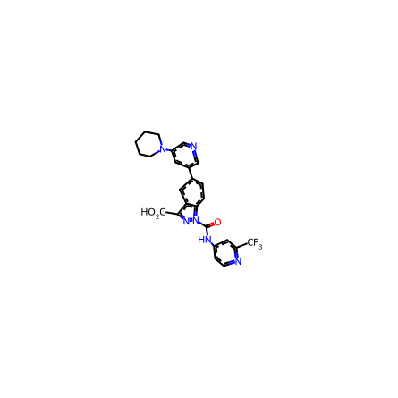 O=C(O)c1nn(C(=O)Nc2ccnc(C(F)(F)F)c2)c2ccc(-c3cncc(N4CCCCC4)c3)cc12